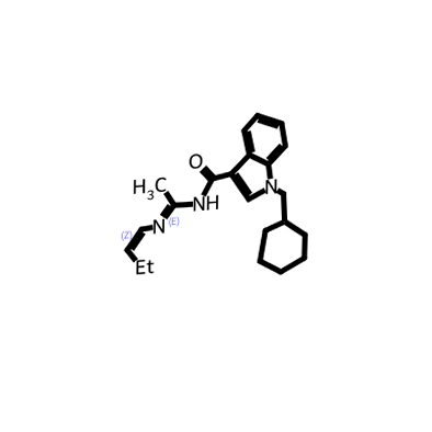 CC/C=C\N=C(/C)NC(=O)c1cn(CC2CCCCC2)c2ccccc12